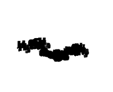 CC(C)(C)C1CCN(CCCC(=O)c2ccc3c(c2)-c2ccc(C(=O)CCCN4CCC(C(C)(C)C)CC4)c4cccc-3c24)CC1